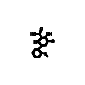 CSc1ccccc1-c1cc(=O)c(O)c(C(=O)O)[nH]1